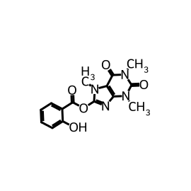 Cn1c(=O)c2c(nc(OC(=O)c3ccccc3O)n2C)n(C)c1=O